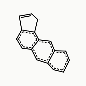 [CH]1C=Cc2ccc3cc4ccccc4cc3c21